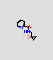 O=C(NCC1(O)CC1)c1ccccn1